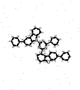 c1ccc(-c2ccc3c(c2)oc2cccc(-c4nc(-c5ccccc5)nc(-n5c6ccccc6c6cc(-c7ccccc7)ccc65)n4)c23)cc1